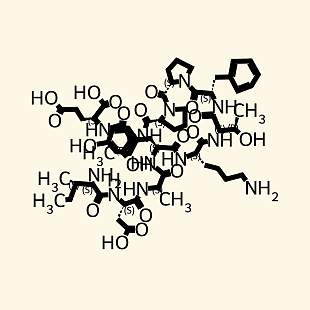 CC[C@H](C)[C@H](N)C(=O)N[C@@H](CC(=O)O)C(=O)N[C@@H](C)C(=O)N[C@@H](Cc1ccc(O)cc1)C(=O)N[C@@H](CCCCN)C(=O)N[C@H](C(=O)N[C@@H](Cc1ccccc1)C(=O)N1CCC[C@H]1C(=O)N1CCC[C@H]1C(=O)N[C@H](C(=O)N[C@@H](CCC(=O)O)C(=O)O)[C@@H](C)O)[C@@H](C)O